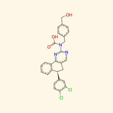 O=C(O)N(Cc1ccc(CO)cc1)c1ncc2c(n1)-c1ccccc1[C@H](c1ccc(Cl)c(Cl)c1)C2